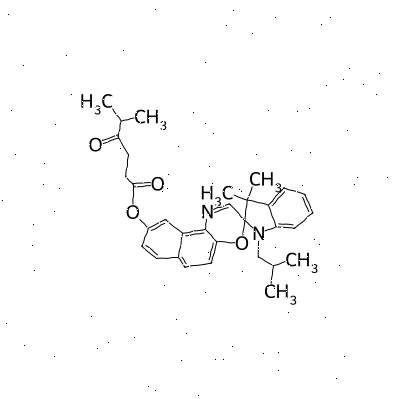 CC(C)CN1c2ccccc2C(C)(C)C12C=Nc1c(ccc3ccc(OC(=O)CCC(=O)C(C)C)cc13)O2